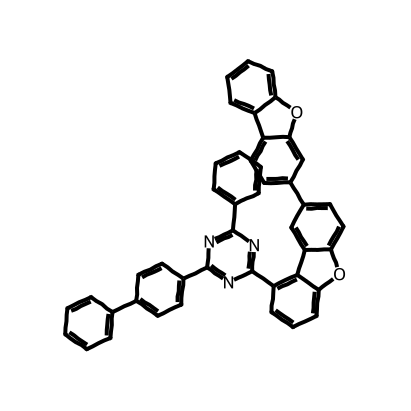 c1ccc(-c2ccc(-c3nc(-c4ccccc4)nc(-c4cccc5oc6ccc(-c7ccc8c(c7)oc7ccccc78)cc6c45)n3)cc2)cc1